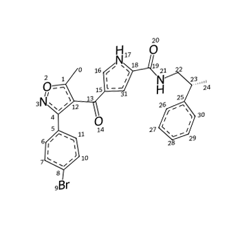 Cc1onc(-c2ccc(Br)cc2)c1C(=O)c1c[nH]c(C(=O)NC[C@H](C)c2ccccc2)c1